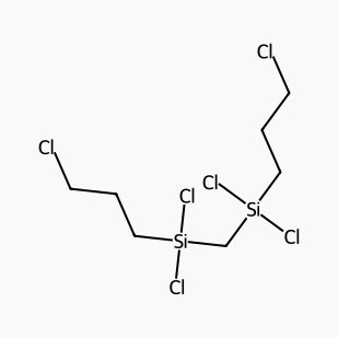 ClCCC[Si](Cl)(Cl)C[Si](Cl)(Cl)CCCCl